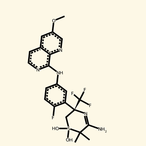 COc1cnc2c(Nc3ccc(F)c([C@@]4(C(F)(F)F)CS(O)(O)C(C)(C)C(N)=N4)c3)nccc2c1